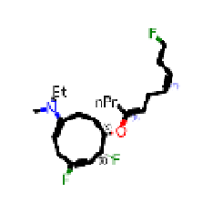 CCC/C(=C\C/C=C\CCF)O[C@H]1CCC(N(C)CC)=CCC(F)=C[C@H]1F